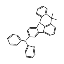 CC1(C)c2ccccc2-n2c3ccc(N(c4ccccc4)c4ccccn4)cc3c3cccc1c32